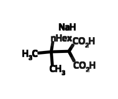 CCCCCCC(C)(C)C(C(=O)O)C(=O)O.[NaH]